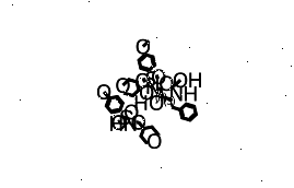 COc1ccc(S(=O)(=O)N(C[C@@H](O)[C@H](Cc2ccccc2)NC(=O)O)OC2CCOCC2)cc1.COc1ccc(S(=O)(=O)NOC2CCOCC2)cc1